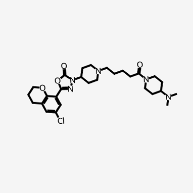 CN(C)C1CCN(C(=O)CCCCN2CCC(n3nc(-c4cc(Cl)cc5c4OCCC5)oc3=O)CC2)CC1